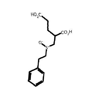 O=C(O)CCC(C[S+]([O-])CCc1ccccc1)C(=O)O